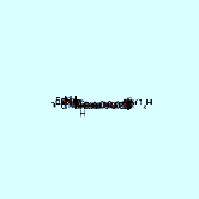 CCCN(OCC)C(=O)C1=Cc2ccc(-c3ccc(C(=O)N4CC[C@@H]4C(=O)NCCOCCOCCOCCOCCOCCOCCOCCOCCOCCOCCC(=O)Oc4c(F)c(F)c(S(=O)(=O)O)c(F)c4F)nc3)cc2N=C(N)C1